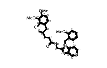 COc1ccccc1Cn1c(C[N]C(=O)CCC(C)Cc2ccc(OC)c(OC)c2Cl)nc2cnccc21